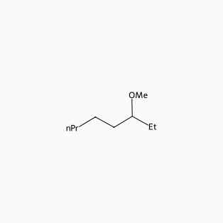 [CH2]CC(CCCCC)OC